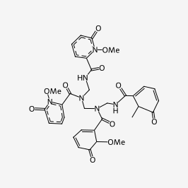 COC1C(=O)C=CC=C1C(=O)N(CNC(=O)C1=CC=CC(=O)C1C)CN(CNC(=O)c1cccc(=O)n1OC)C(=O)c1cccc(=O)n1OC